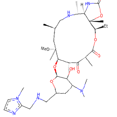 CC[C@H]1OC(=O)C(C)C(=O)[C@H](C)[C@@H](O[C@@H]2OC(CNCc3nccn3C)CC(N(C)C)C2O)[C@](C)(OC)C[C@@H](C)CN[C@H](C)[C@H]2NC(=O)O[C@@]21C